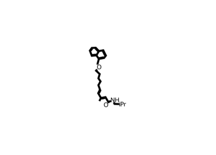 CC(C=CCCCCCOCc1cccc2ccccc12)=CC(=O)NCC(C)C